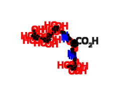 CC(C)(OC[C@H]1O[C@@H](OCCn2cc(COc3cc(OCc4cn(CCO[C@@H]5O[C@H](CO)[C@@H](O)C(O)[C@H]5O)nn4)cc(C(=O)O)c3)nn2)[C@H](O)[C@@H](O)[C@@H]1O)[C@@H]1O[C@H](CO[C@@H]2O[C@H](CO)[C@@H](O)[C@H](O)[C@H]2O)[C@@H](O)[C@H](O)[C@H]1O